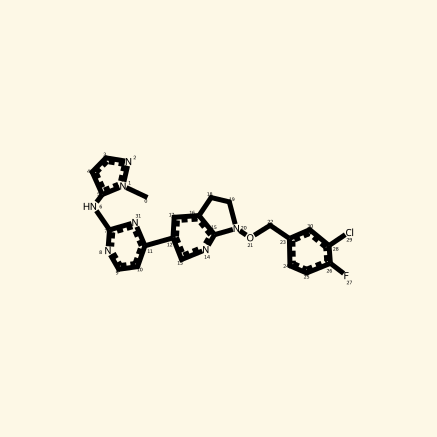 Cn1nccc1Nc1nccc(-c2cnc3c(c2)CCN3OCc2ccc(F)c(Cl)c2)n1